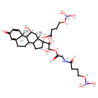 C[C@]12C=CC(=O)C=C1CCC1C3C[C@@H](O)[C@](OC(=O)CCCON(O)O)(C(=O)COC(=O)CNC(=O)CCCON(O)O)[C@@]3(C)C[C@H](O)[C@@]12F